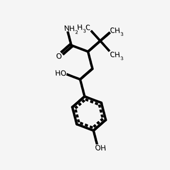 CC(C)(C)C(CC(O)c1ccc(O)cc1)C(N)=O